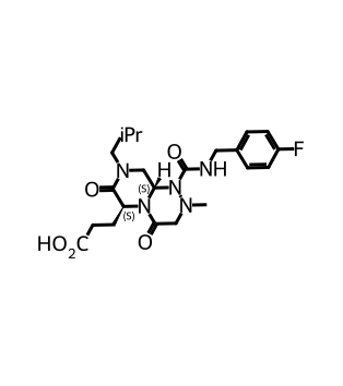 CC(C)CN1C[C@H]2N(C(=O)CN(C)N2C(=O)NCc2ccc(F)cc2)[C@@H](CCC(=O)O)C1=O